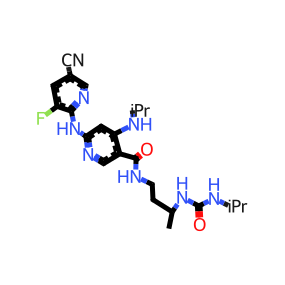 CC(C)NC(=O)NC(C)CCNC(=O)c1cnc(Nc2ncc(C#N)cc2F)cc1NC(C)C